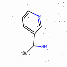 CCCCC(N)c1cccnc1